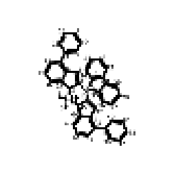 [CH3][Hf]1([CH3])[CH]2C(=Cc3c(-c4ccccc4)cccc32)[Si](c2ccccc2)(c2ccccc2)C2=Cc3c(-c4ccccc4)cccc3[CH]21